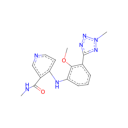 CNC(=O)c1cnccc1Nc1cccc(-c2nnn(C)n2)c1OC